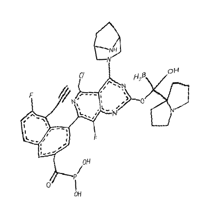 BC(O)(Oc1nc(N2CC3CCC(C2)N3)c2c(Cl)nc(-c3cc(C(=O)P(O)O)cc4ccc(F)c(C#C)c34)c(F)c2n1)C12CCCN1CCC2